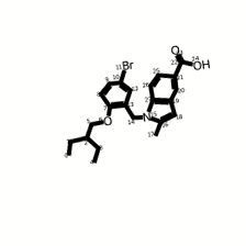 CCC(CC)COc1ccc(Br)cc1Cn1c(C)cc2cc(C(=O)O)ccc21